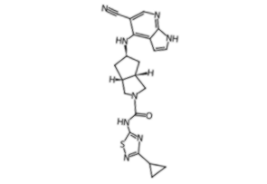 N#Cc1cnc2[nH]ccc2c1N[C@H]1C[C@@H]2CN(C(=O)Nc3nc(C4CC4)ns3)C[C@@H]2C1